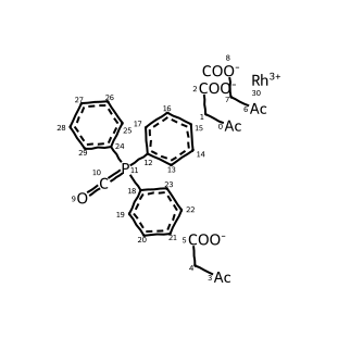 CC(=O)CC(=O)[O-].CC(=O)CC(=O)[O-].CC(=O)CC(=O)[O-].O=C=P(c1ccccc1)(c1ccccc1)c1ccccc1.[Rh+3]